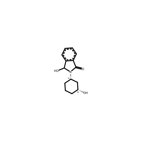 O=C1c2ccccc2C(O)N1[C@H]1CCC[C@@H](O)C1